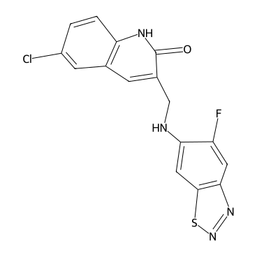 O=c1[nH]c2ccc(Cl)cc2cc1CNc1cc2snnc2cc1F